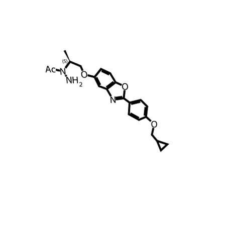 CC(=O)N(N)[C@@H](C)COc1ccc2oc(-c3ccc(OCC4CC4)cc3)nc2c1